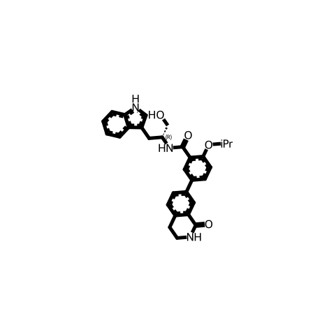 CC(C)Oc1ccc(-c2ccc3c(c2)C(=O)NCC3)cc1C(=O)N[C@@H](CO)Cc1c[nH]c2ccccc12